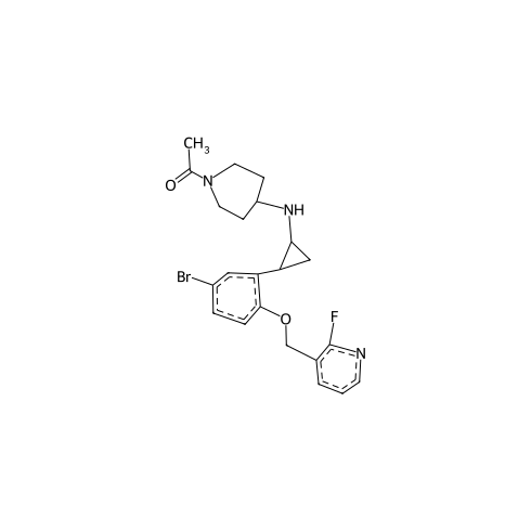 CC(=O)N1CCC(NC2CC2c2cc(Br)ccc2OCc2cccnc2F)CC1